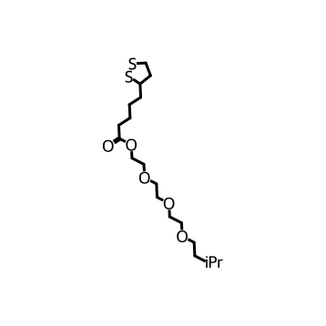 CC(C)CCOCCOCCOCCOC(=O)CCCCC1CCSS1